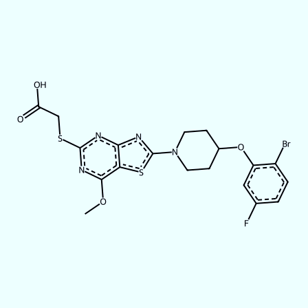 COc1nc(SCC(=O)O)nc2nc(N3CCC(Oc4cc(F)ccc4Br)CC3)sc12